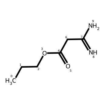 CCCOC(=O)CC(=N)N